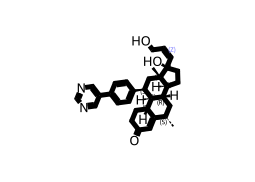 C[C@H]1C[C@@H]2[C@H]([C@@H](c3ccc(-c4cncnc4)cc3)C[C@@]3(C)[C@H]2CC[C@@]3(O)/C=C\CO)[C@H]2CCC(=O)C=C12